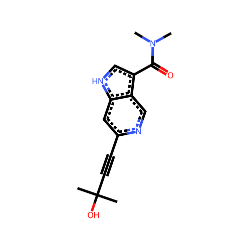 CN(C)C(=O)c1c[nH]c2cc(C#CC(C)(C)O)ncc12